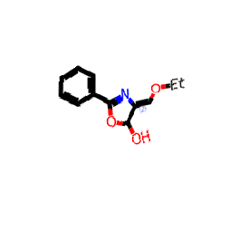 CCO/C=C1\N=C(c2ccccc2)OC1O